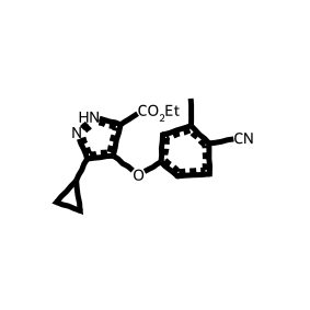 CCOC(=O)c1[nH]nc(C2CC2)c1Oc1ccc(C#N)c(C)c1